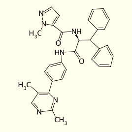 Cc1ncc(C)c(-c2ccc(NC(=O)[C@@H](NC(=O)c3ccnn3C)C(c3ccccc3)c3ccccc3)cc2)n1